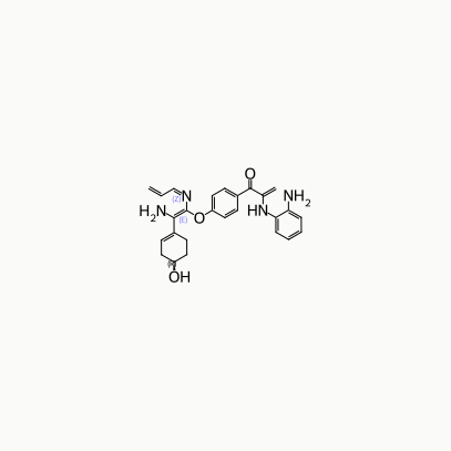 C=C/C=N\C(Oc1ccc(C(=O)C(=C)Nc2ccccc2N)cc1)=C(/N)C1=CC[C@H](O)CC1